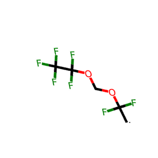 [CH2]C(F)(F)OCOC(F)(F)C(F)(F)F